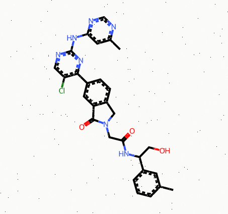 Cc1cccc(C(CO)NC(=O)CN2Cc3ccc(-c4nc(Nc5cc(C)ncn5)ncc4Cl)cc3C2=O)c1